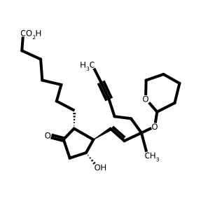 CC#CCCC(C)(C=C[C@H]1[C@H](O)CC(=O)[C@@H]1CCCCCCC(=O)O)OC1CCCCO1